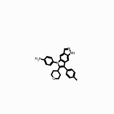 Cc1ccc(-c2c(C3CCOCC3)n(-c3ccc(P)cc3)c3cc4cn[nH]c4cc23)cc1